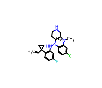 C=CC1(c2ccc(F)cc2NN(c2ccc(Cl)cc2N(C)C)C2CCNCC2)CC1